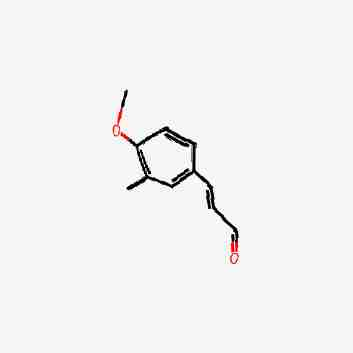 COc1ccc(C=CC=O)cc1C